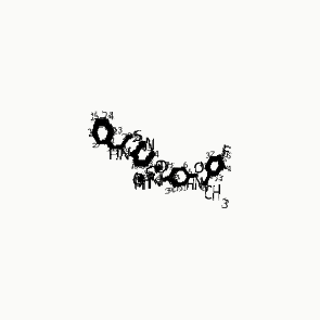 C[C@@H](NC(=O)C1CCC(NS(=O)(=O)c2cnc3c(c2)NC(Cc2ccccc2)CS3)CC1)c1ccc(F)cc1